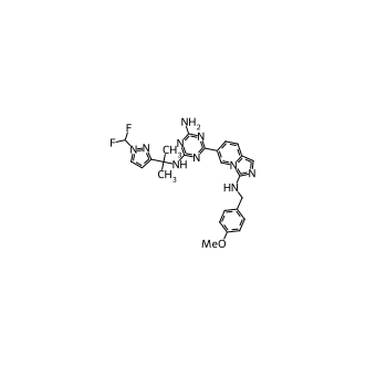 COc1ccc(CNc2ncc3ccc(-c4nc(N)nc(NC(C)(C)c5ccn(C(F)F)n5)n4)cn23)cc1